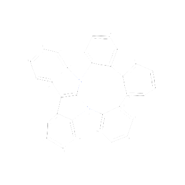 c1ccc2c(c1)c1ccccc1n1c3ccccc3c3c4ccccc4n(c4ccccc24)c31